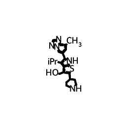 Cc1cc(-c2[nH]c3sc(C4CCNCC4)c(CO)c3c2C(C)C)cn2ncnc12